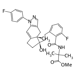 COC(=O)C(C)(C)NC(=O)c1c(F)cccc1CC[C@]1(O)CCC2=Cc3c(cnn3-c3ccc(F)cc3)C[C@@]21C